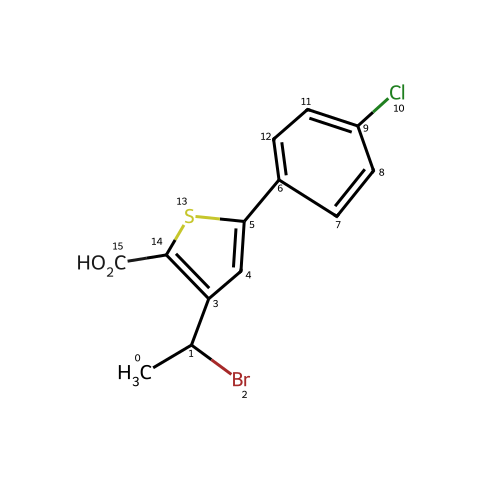 CC(Br)c1cc(-c2ccc(Cl)cc2)sc1C(=O)O